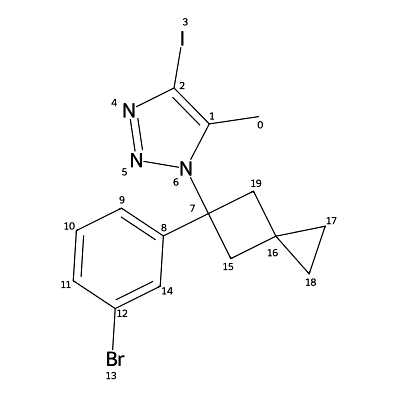 Cc1c(I)nnn1C1(c2cccc(Br)c2)CC2(CC2)C1